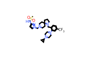 CS(=O)(=O)Nc1ccn(CN2CCC3(CCCN3Cc3ccc(C(F)(F)F)cc3N3CCN(C4CC4)CC3)CC2)n1